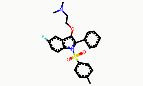 Cc1ccc(S(=O)(=O)n2c(-c3ccccc3)c(OCCN(C)C)c3cc(F)ccc32)cc1